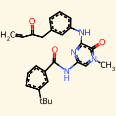 C=CC(=O)Cc1cccc(Nc2nc(NC(=O)c3cccc(C(C)(C)C)c3)cn(C)c2=O)c1